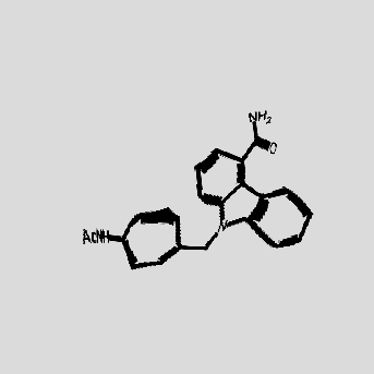 CC(=O)Nc1ccc(Cn2c3ccc[c]c3c3c(C(N)=O)cccc32)cc1